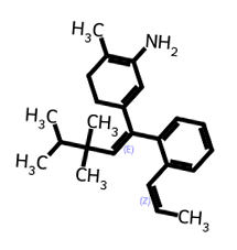 C/C=C\c1ccccc1/C(=C/C(C)(C)C(C)C)C1=CC(N)=C(C)CC1